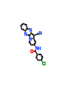 N#Cc1c2nc3ccccc3nc2n2ccc(NC(=O)c3ccc(Cl)cc3)cc12